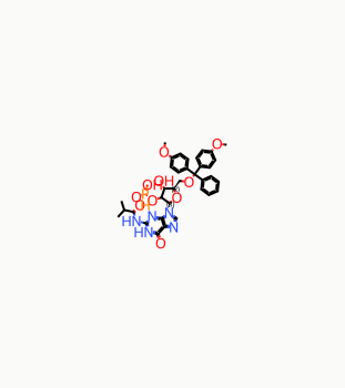 COc1ccc(C(OC[C@H]2O[C@@H](n3cnc4c(=O)[nH]c(NC(=O)C(C)C)nc43)C(O[PH](=O)O)C2O)(c2ccccc2)c2ccc(OC)cc2)cc1